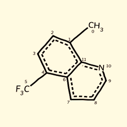 Cc1ccc(C(F)(F)F)c2cccnc12